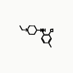 CCN1CCC(Nc2ccc(C)cc2Cl)CC1